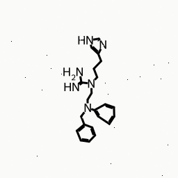 N=C(N)N(CCCc1c[nH]cn1)CCN(Cc1ccccc1)c1ccccc1